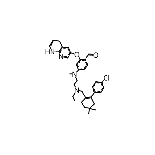 CCN(CCN(C)c1ccc(C=O)c(Oc2cnc3c(c2)CC=CN3)c1)CC1=C(c2ccc(Cl)cc2)CC(C)(C)CC1